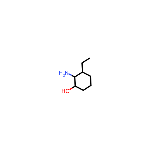 [CH2]CC1CCCC(O)C1N